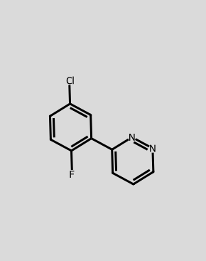 Fc1ccc(Cl)cc1-c1cccnn1